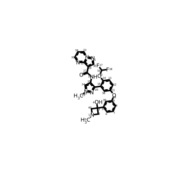 CN1CC(O)(c2cccc(Oc3ccc(OC(F)F)c(-c4nn(C)cc4NC(=O)c4cnn5cccnc45)c3)c2)C1